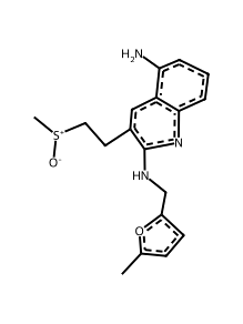 Cc1ccc(CNc2nc3cccc(N)c3cc2CC[S+](C)[O-])o1